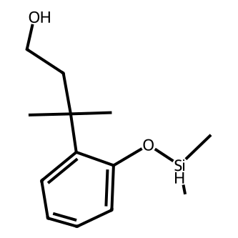 C[SiH](C)Oc1ccccc1C(C)(C)CCO